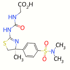 CN(C)S(=O)(=O)c1ccc([C@@]2(C)CSC(NC(=O)NCC(=O)O)=N2)cc1